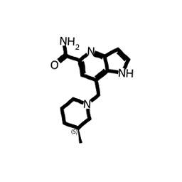 C[C@H]1CCCN(Cc2cc(C(N)=O)nc3cc[nH]c23)C1